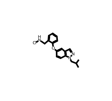 CC(C)Cn1ncc2cc(Oc3ccccc3CNCl)ccc21